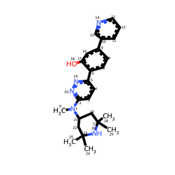 CN(c1ccc(-c2ccc(-c3cccnc3)cc2O)nn1)C1CC(C)(C)NC(C)(C)C1